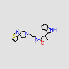 CC(CC(=O)N(C)CCCN1CCC(c2cccs2)(N(C)C)CC1)c1c[nH]c2ccccc12